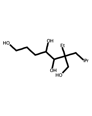 CCC(CO)(CC(C)C)C(O)C(O)CCCO